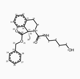 O=C(NCCCCO)N1CCc2ccccc2[C@]1(I)C(=O)OCc1ccccc1